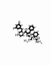 CCC[C@]1(OC(N)=O)CCCC[C@@H]1n1cnc(C(=O)N2CCNCC2Cc2cc(F)cc(F)c2)c1-c1ccccc1